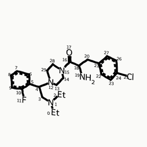 CCN(CC)CC(c1ccccc1F)N1CCN(C(=O)C(N)Cc2ccc(Cl)cc2)CC1